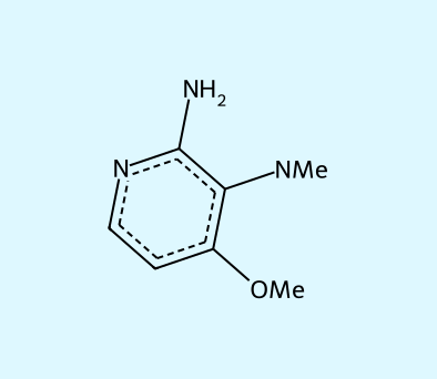 CNc1c(OC)ccnc1N